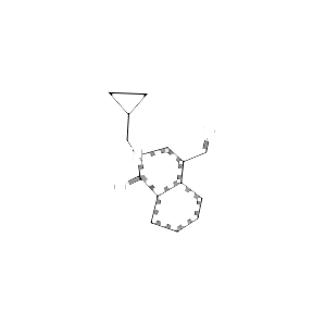 O=Cc1cn(CC2CC2)c(=O)c2ccccc12